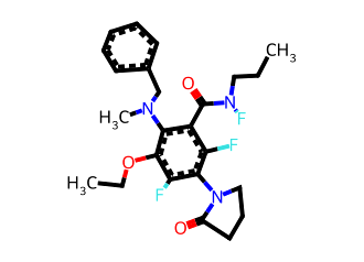 CCCN(F)C(=O)c1c(F)c(N2CCCC2=O)c(F)c(OCC)c1N(C)Cc1ccccc1